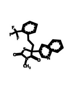 CN1C(=O)SC(CCc2ccccc2C(F)(F)F)(c2cnc3ccccc3c2)C1=O